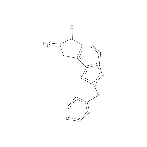 CC1Cc2c(ccc3nn(Cc4ccccc4)cc23)C1=O